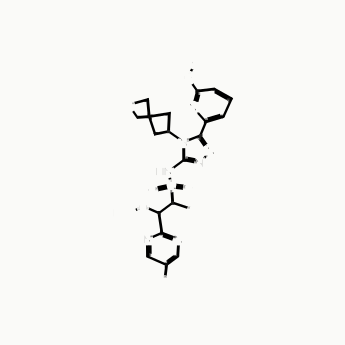 COc1cccc(-c2nnc(NS(=O)(=O)C(C)C(OC)c3ncc(Cl)cn3)n2C2CC3(COC3)C2)n1